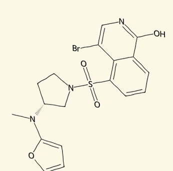 CN(c1ccco1)[C@@H]1CCN(S(=O)(=O)c2cccc3c(O)ncc(Br)c23)C1